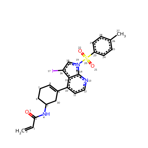 C=CC(=O)NC1CCC=C(c2ccnc3c2c(I)cn3S(=O)(=O)c2ccc(C)cc2)C1